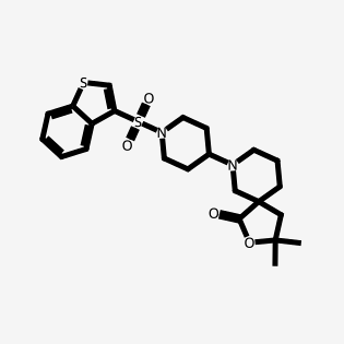 CC1(C)CC2(CCCN(C3CCN(S(=O)(=O)c4csc5ccccc45)CC3)C2)C(=O)O1